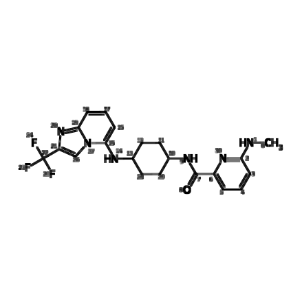 CNc1cccc(C(=O)NC2CCC(Nc3cccc4nc(C(F)(F)F)cn34)CC2)n1